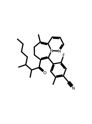 CCCCC(C)C(C)C(=O)C1=C(c2cc(C)c(C#N)cc2F)N2N=CC=CC2=C(C)CC1